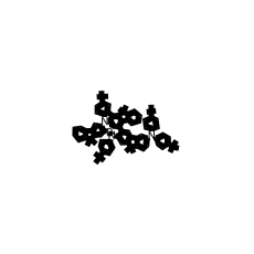 CC(C)(C)c1ccc(N2B3c4cc5c(cc4-n4c6ccc(C(C)(C)C)cc6c6c7c(c(c3c64)-c3cc4c(cc32)C(C)(C)c2ccc(N(c3ccc(C(C)(C)C)cc3)c3ccc(C(C)(C)C)cc3)cc2-4)-c2ccccc2C7(C)C)-c2ccccc2C5(C)C)cc1